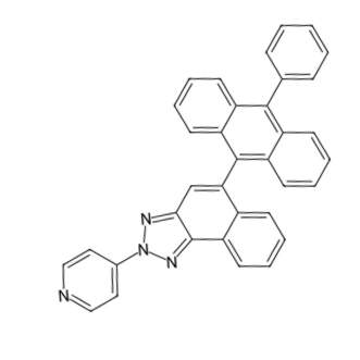 c1ccc(-c2c3ccccc3c(-c3cc4nn(-c5ccncc5)nc4c4ccccc34)c3ccccc23)cc1